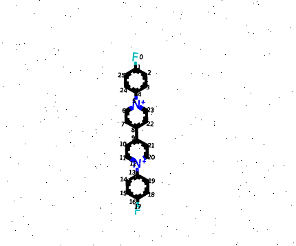 Fc1ccc(-[n+]2ccc(-c3cc[n+](-c4ccc(F)cc4)cc3)cc2)cc1